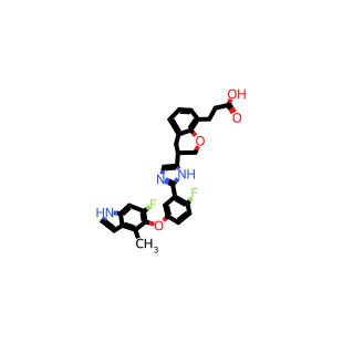 Cc1c(Oc2ccc(F)c(-c3ncc(C4COc5c(CCC(=O)O)cccc5C4)[nH]3)c2)c(F)cc2[nH]ccc12